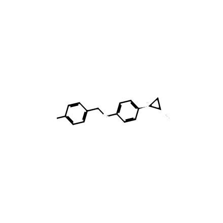 Cc1ccc(CNc2ccc([C@H]3C[C@@H]3N)cc2)cc1